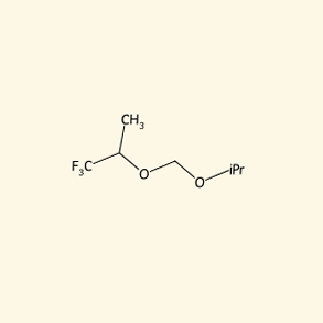 CC(C)OCOC(C)C(F)(F)F